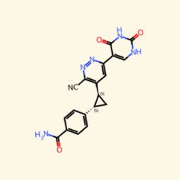 N#Cc1nnc(-c2c[nH]c(=O)[nH]c2=O)cc1[C@H]1C[C@@H]1c1ccc(C(N)=O)cc1